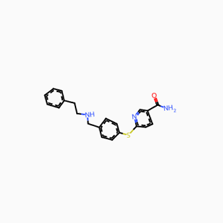 NC(=O)c1ccc(Sc2ccc(CNCCc3ccccc3)cc2)nc1